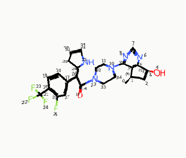 C[C@@H]1C[C@H](O)c2ncnc(N3CCN(C(=O)C(c4ccc(C(F)(F)F)c(F)c4)C4CCCN4)CC3)c21